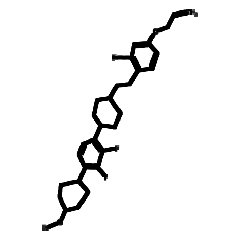 C=CCOc1ccc(CCC2CCC(c3ccc(C4CCC(OCC)CC4)c(F)c3F)CC2)c(F)c1